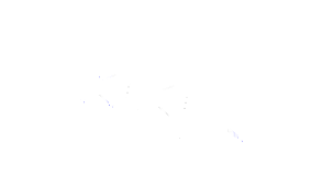 Cc1cc(Oc2cnc(N)nc2C)c(C(C)C)cc1OCC#N